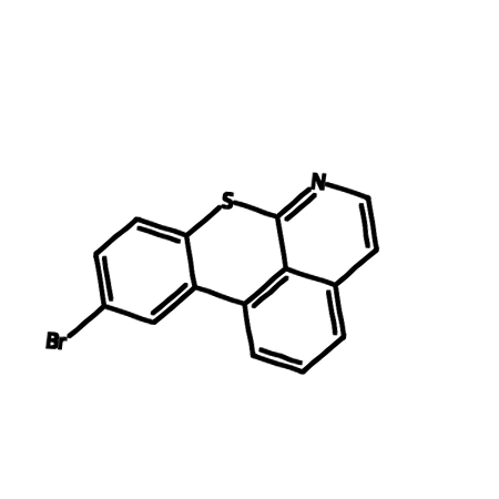 Brc1ccc2c(c1)-c1cccc3ccnc(c13)S2